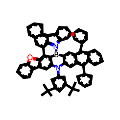 CC(C)(C)c1cc(N2c3cc4c(-c5ccccc5)c5ccccc5c(-c5ccccc5)c4cc3B3c4c2cc2c(oc5ccccc52)c4-c2cc4ccccc4c4c5ccccc5n3c24)cc(C(C)(C)C)c1